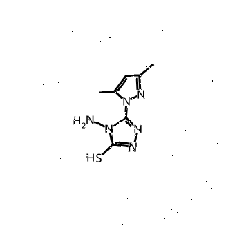 Cc1cc(C)n(-c2nnc(S)n2N)n1